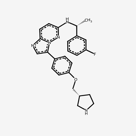 C[C@@H](Nc1ccc2ncc(-c3ccc(OC[C@@H]4CCNC4)cc3)n2n1)c1cccc(F)c1